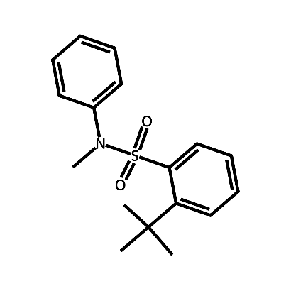 CN(c1ccccc1)S(=O)(=O)c1ccccc1C(C)(C)C